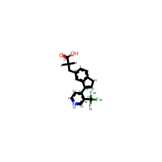 CC(C)(Cc1ccc2c(c1)C(c1ccncc1C(F)(F)F)=CC2)C(=O)O